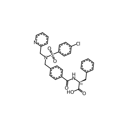 O=C(N[C@@H](Cc1ccccc1)C(=O)O)c1ccc(CN(Cc2ccccn2)S(=O)(=O)c2ccc(Cl)cc2)cc1